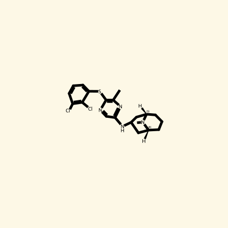 Cc1nc(NC2C[C@H]3CCC[C@@H](C2)N3C)cnc1Sc1cccc(Cl)c1Cl